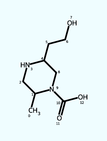 CC1CNC(CCO)CN1C(=O)O